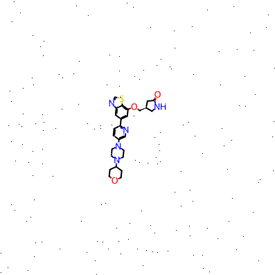 O=C1C[C@H](COc2cc(-c3ccc(N4CCN(C5CCOCC5)CC4)cn3)cc3ncsc23)CN1